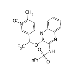 CCCS(=O)(=O)Nc1nc2ccccc2nc1OC(c1ccc(C)[n+]([O-])c1)C(F)(F)F